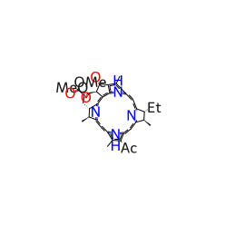 CC[C@H]1c2cc3[nH]c4c(c3C)C(=O)[C@H](C(=O)OC)c4c3nc(cc4[nH]c(cc(n2)[C@@H]1C)c(C(C)=O)c4C)[C@@H](C)[C@@H]3CCC(=O)OC